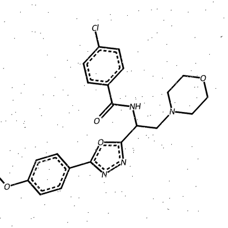 O=C(NC(CN1CCOCC1)c1nnc(-c2ccc(OC(F)(F)F)cc2)o1)c1ccc(Cl)cc1